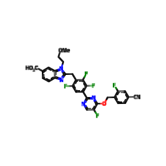 COCCn1c(Cc2c(F)cc(-c3ncc(F)c(OCc4ccc(C#N)cc4F)n3)c(F)c2F)nc2ccc(C(=O)O)cc21